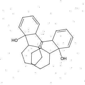 O=C(C1C=CC=CC1(O)C1CCCCC1)C1C=CC=CC1(O)C1CCCCC1